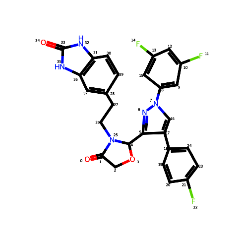 O=C1COC(c2nn(-c3cc(F)cc(F)c3)cc2-c2ccc(F)cc2)N1CCc1ccc2[nH]c(=O)[nH]c2c1